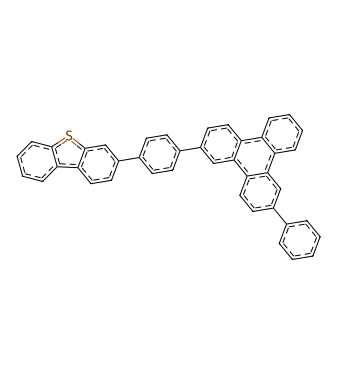 c1ccc(-c2ccc3c(c2)c2ccccc2c2ccc(-c4ccc(-c5ccc6c(c5)sc5ccccc56)cc4)cc23)cc1